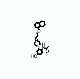 CC(=O)Nc1ccc(O)cc1N1CCN(CCCOc2cccc3c2CCCC3)CC1